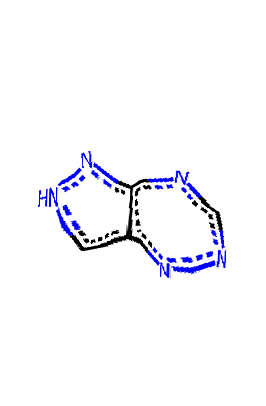 c1nnc2c[nH]nc2n1